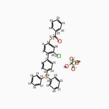 O=C(Sc1ccc(-c2ccc([S+](c3ccccc3)c3ccccc3)cc2)c(Cl)c1)c1ccccc1.[O-][Cl+3]([O-])([O-])[O-]